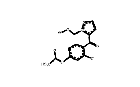 CCOCn1nccc1C(=O)c1ccc(OC(Cl)C(=O)O)cc1Cl